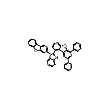 c1ccc(-c2cc(-c3ccccc3)c3oc4cccc(-c5nc6ccccc6n5-c5ccc6c(c5)oc5ccccc56)c4c3c2)cc1